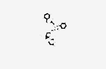 C[C@H](NP(=O)(OC[C@H]1O[C@]2(n3ccc(=O)[nH]c3=O)C[C@@]2(C#N)[C@@H]1O)Oc1ccccc1)C(=O)O[C@H](C)c1ccccc1